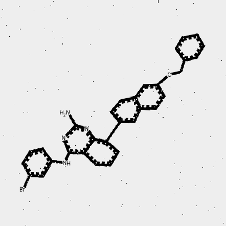 Nc1nc(Nc2cccc(Br)c2)c2cccc(-c3ccc4cc(OCc5ccccc5)ccc4c3)c2n1